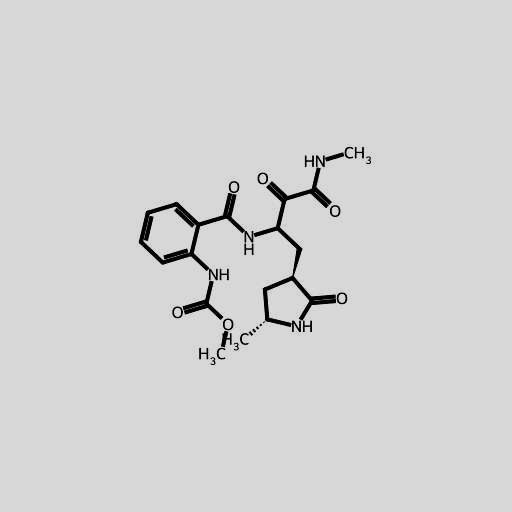 CNC(=O)C(=O)C(C[C@@H]1C[C@@H](C)NC1=O)NC(=O)c1ccccc1NC(=O)OC